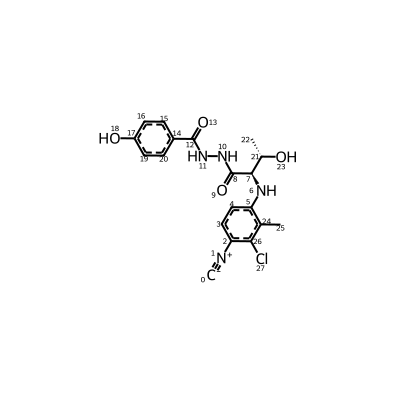 [C-]#[N+]c1ccc(N[C@@H](C(=O)NNC(=O)c2ccc(O)cc2)[C@H](C)O)c(C)c1Cl